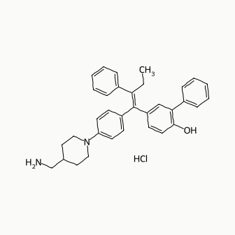 CCC(=C(c1ccc(N2CCC(CN)CC2)cc1)c1ccc(O)c(-c2ccccc2)c1)c1ccccc1.Cl